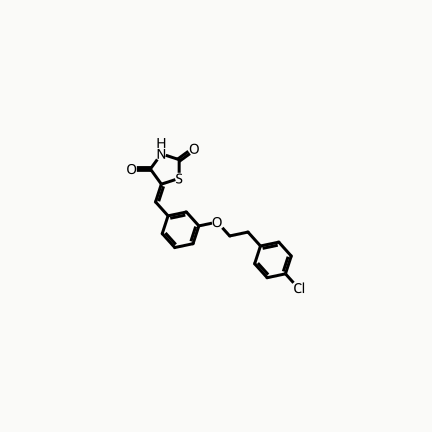 O=C1NC(=O)C(=Cc2cccc(OCCc3ccc(Cl)cc3)c2)S1